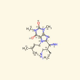 CC[C@@H](CN)C(=N)c1nc2c(c(=O)n(C)c(=O)n2C)n1CC=C(C)C